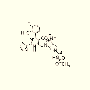 Cc1c(F)cccc1C1N=C(c2nccs2)NC(CN2CC(F)(F)C3CN(C(=O)NS(C)(=O)=O)CC32)=C1C(=O)O